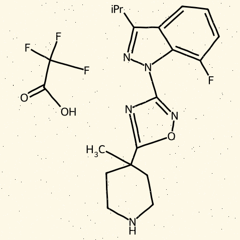 CC(C)c1nn(-c2noc(C3(C)CCNCC3)n2)c2c(F)cccc12.O=C(O)C(F)(F)F